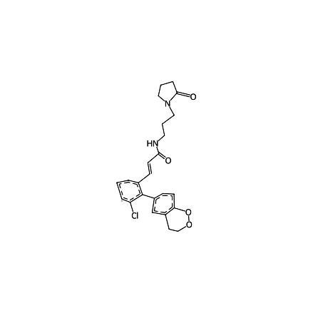 O=C(/C=C/c1cc[c]c(Cl)c1-c1ccc2c(c1)CCOO2)NCCCN1CCCC1=O